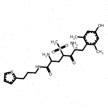 Cc1cc(O)cc(C)c1C[C@@H](N)C(=O)C(CC(N)C(=O)NCCCc1cccs1)S(C)(=O)=O